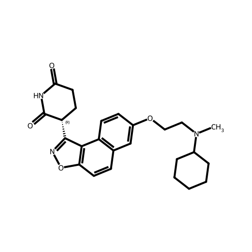 CN(CCOc1ccc2c(ccc3onc([C@H]4CCC(=O)NC4=O)c32)c1)C1CCCCC1